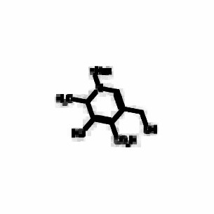 CCCCCCN1C=C(CO)C(C(=O)O)=C(O)C1C